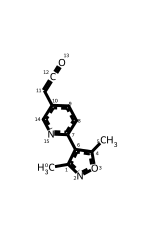 Cc1noc(C)c1-c1ccc(C=C=O)cn1